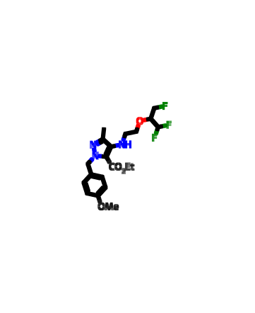 CCOC(=O)c1c(NCCOC(CF)C(F)F)c(C)nn1Cc1ccc(OC)cc1